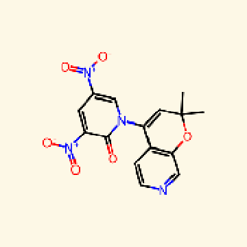 CC1(C)C=C(n2cc([N+](=O)[O-])cc([N+](=O)[O-])c2=O)c2ccncc2O1